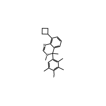 Cc1cc(C2(C)c3cccc(C4CCC4)c3N=CN2C)c(C)c(C)c1F